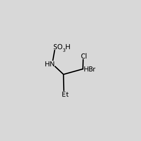 Br.CCC(CCl)NS(=O)(=O)O